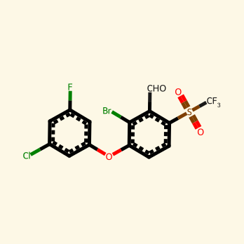 O=Cc1c(S(=O)(=O)C(F)(F)F)ccc(Oc2cc(F)cc(Cl)c2)c1Br